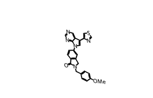 COc1ccc(CN2Cc3cc(-n4cc(-c5cscn5)c5cncnc54)ccc3C2=O)cc1